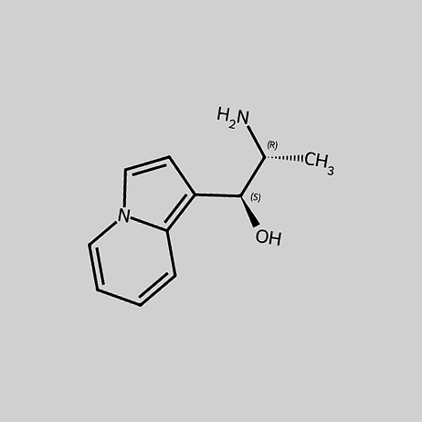 C[C@@H](N)[C@@H](O)c1ccn2ccccc12